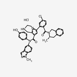 C[C@@H]1Cc2ccccc2CN1C(=O)c1ccc(Cl)cc1-c1cc(C(=O)N(c2ccc(O)cc2)c2ccc3c(cnn3C)c2)c2n1CCNC2.Cl